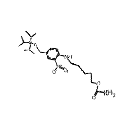 CC(C)[Si](OCc1ccc(NCCCCCOC(N)=O)c([N+](=O)[O-])c1)(C(C)C)C(C)C